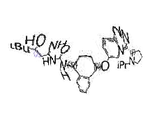 CC(C)N1CCC[C@H]1c1nnc2ccc(O[C@@H]3CC[C@H](NC(=O)NC(=N)/C=C(\O)C(C)(C)C)c4ccccc43)cn12